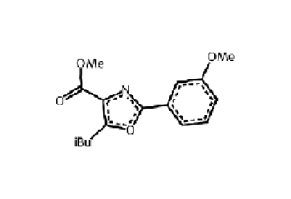 CCC(C)c1oc(-c2cccc(OC)c2)nc1C(=O)OC